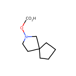 O=C(O)ON1CCC2(CCCC2)C1